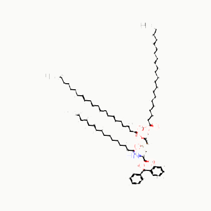 CCCCCCCCCCCCCCCCCCCCCC(=O)OC[C@H](CSC[C@@H](NC(=O)CCCCCCCCCCCCCCC)C(=O)OC(c1ccccc1)c1ccccc1)OC(=O)CCCCCCCCCCCCCCCCCCCCC